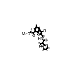 CONC(=O)c1cc(C)cc2c(Cl)c(CNC(=O)c3cnn4cccnc34)oc12